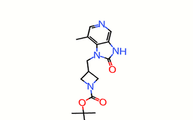 Cc1cncc2[nH]c(=O)n(CC3CN(C(=O)OC(C)(C)C)C3)c12